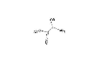 CCCC(C#N)C(=O)OC